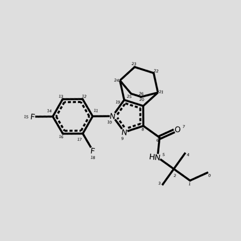 CCC(C)(C)NC(=O)c1nn(-c2ccc(F)cc2F)c2c1C1CCC2CC1